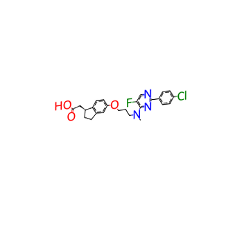 CN(CCCOc1ccc2c(c1)CC[C@H]2CC(=O)O)c1nc(-c2ccc(Cl)cc2)ncc1F